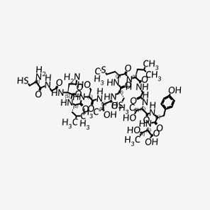 CSCC[C@H](NC(=O)[C@H](CS)NC(=O)[C@@H](NC(=O)[C@H](CO)NC(=O)[C@H](CC(C)C)NC(=O)[C@H](CC(N)=O)NC(=O)CNC(=O)[C@@H](N)CS)[C@@H](C)O)C(=O)N[C@@H](CC(C)C)C(=O)NCC(=O)N[C@H](C(=O)N[C@@H](Cc1ccc(O)cc1)C(=O)N[C@H](C(=O)O)[C@@H](C)O)[C@@H](C)O